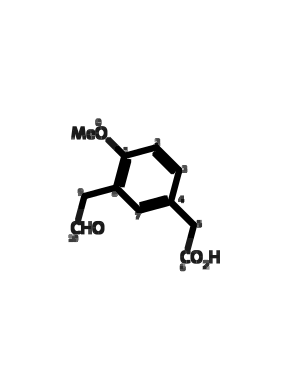 COc1ccc(CC(=O)O)cc1CC=O